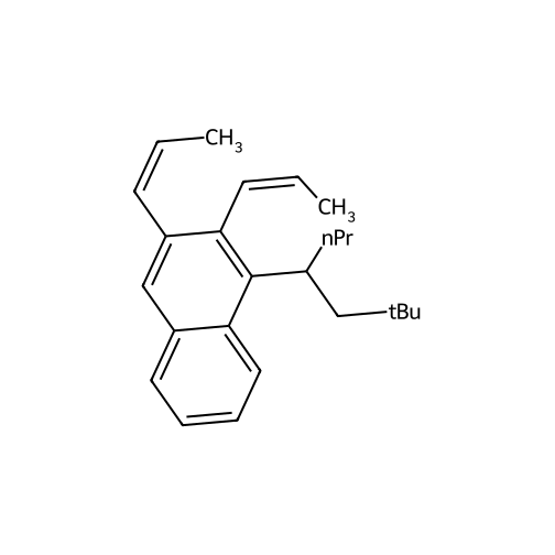 C/C=C\c1cc2ccccc2c(C(CCC)CC(C)(C)C)c1/C=C\C